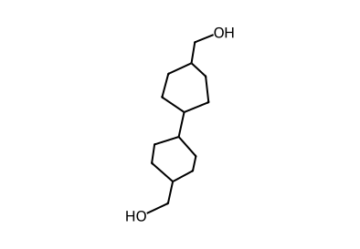 OCC1CCC(C2CCC(CO)CC2)CC1